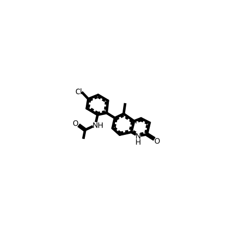 CC(=O)Nc1cc(Cl)ccc1-c1ccc2[nH]c(=O)ccc2c1C